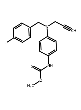 C#CCN(Cc1ccc(F)cc1)c1ccc(NC(=S)OC)cc1